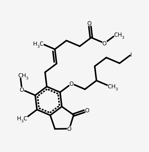 COC(=O)CC/C(C)=C/Cc1c(OC)c(C)c2c(c1OCC(C)CCCI)C(=O)OC2